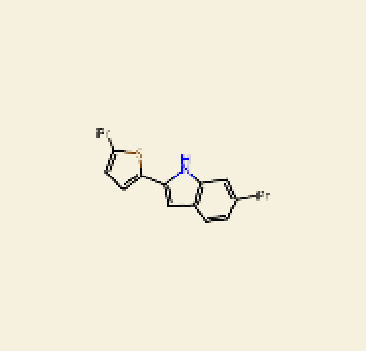 CC(C)c1ccc2cc(-c3ccc(C(C)C)s3)[nH]c2c1